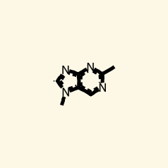 Cc1ncc2c(n[c]n2C)n1